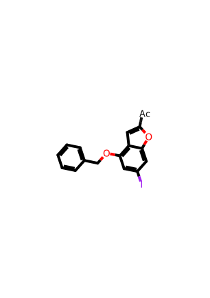 CC(=O)c1cc2c(OCc3ccccc3)cc(I)cc2o1